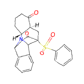 O=C1CCC[C@@H]2[C@@H]1CC1(S(=O)(=O)c3ccccc3)C(=O)C3c4ccccc4C1N32